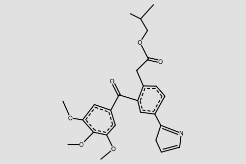 COc1cc(C(=O)c2cc(C3=NC=CC3)ccc2CC(=O)OCC(C)C)cc(OC)c1OC